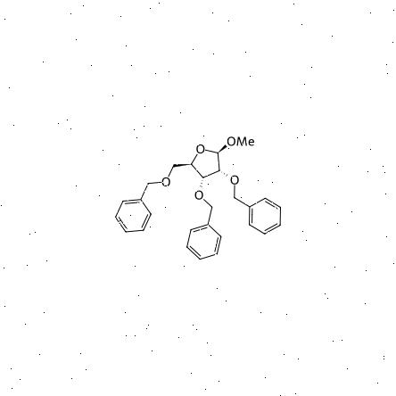 CO[C@@H]1O[C@H](COCc2ccccc2)[C@@H](OCc2ccccc2)[C@H]1OCc1ccccc1